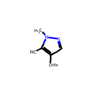 COc1[c]nn(C)c1C#N